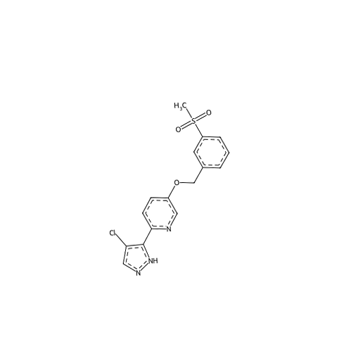 CS(=O)(=O)c1cccc(COc2ccc(-c3[nH]ncc3Cl)nc2)c1